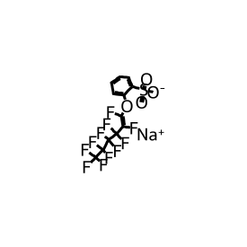 O=S(=O)([O-])c1ccccc1OC(F)=C(F)C(F)(F)C(F)(F)C(F)(F)C(F)(F)F.[Na+]